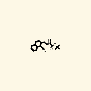 CC(C)(C)OC(=O)NCCc1ccc2ccccc2c1C#N